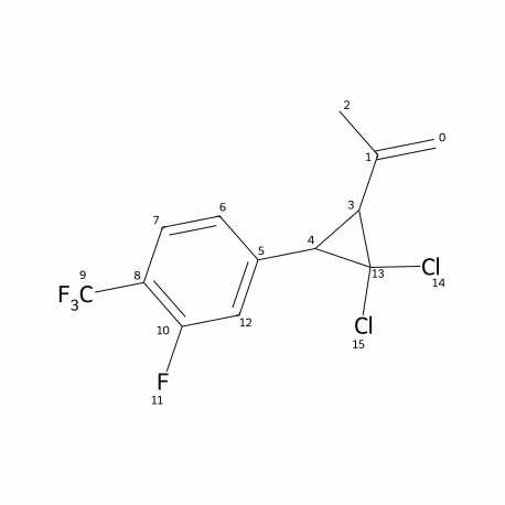 C=C(C)C1C(c2ccc(C(F)(F)F)c(F)c2)C1(Cl)Cl